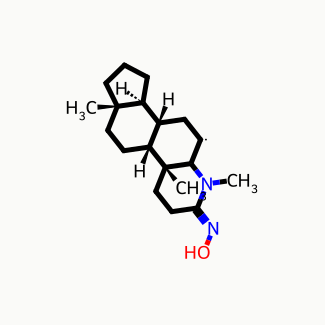 CN1C(=NO)CC[C@@]2(C)C1[CH]C[C@@H]1[C@H]2CC[C@]2(C)CCC[C@@H]12